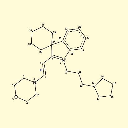 C(=C\N1CCOCC1)/C1=[N+](CCCC2CCCC2)c2ccccc2C12CCCCC2